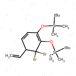 C=CC1C=CC(O[Si](C)(C)C(C)(C)C)=C(O[Si](C)(C)C(C)(C)C)C1(Br)Br